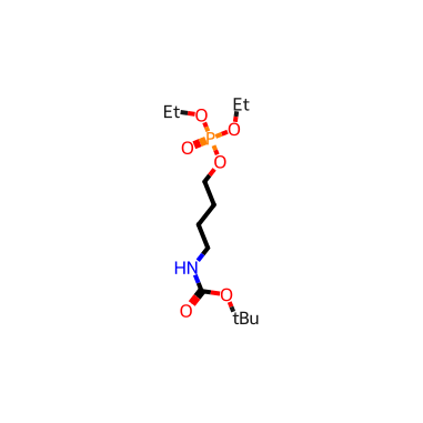 CCOP(=O)(OCC)OCCCCNC(=O)OC(C)(C)C